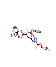 CC[C@H](C)[C@H](NC(=O)[C@H](CCCNC(=S)OCC(F)(F)F)NC(=O)OC(C)(C)C)C(=O)NC